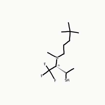 CC(S)[C@@H](N(C)CCCC(C)(C)C)C(F)(F)F